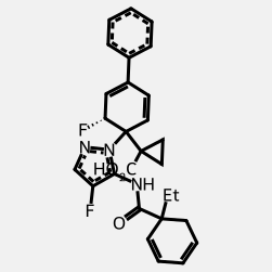 CCC1(C(=O)Nc2c(F)cnn2C2(C3(C(=O)O)CC3)C=CC(c3ccccc3)=C[C@H]2F)C=CC=CC1